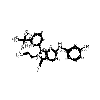 C=CCn1c(=O)c2cnc(Nc3cccc(C#N)c3)nc2n1-c1cccc(C(C)(C)O)n1